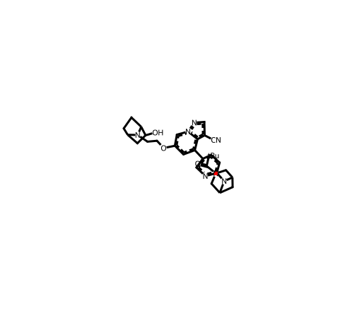 CC(C)(C)C(=O)N1CC2CC(C1)N2c1ccc(-c2cc(OCCN3C4CCC3C(O)C4)cn3ncc(C#N)c23)cn1